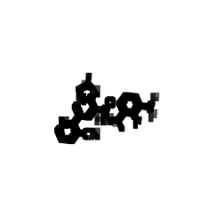 C[C@@H]1CN2C=C(c3ncccc3C#N)C=C(C(=O)N[C@H](C)c3cccc(C(F)F)c3F)C2=N1